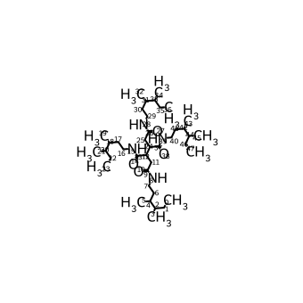 CCC(C)C(C)CCNC(=O)CC(C(=O)NCCC(C)C(C)CC)C(CC(=O)NCCC(C)C(C)CC)C(=O)NCCC(C)C(C)CC